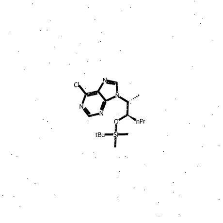 CCC[C@@H](O[Si](C)(C)C(C)(C)C)[C@@H](C)n1cnc2c(Cl)ncnc21